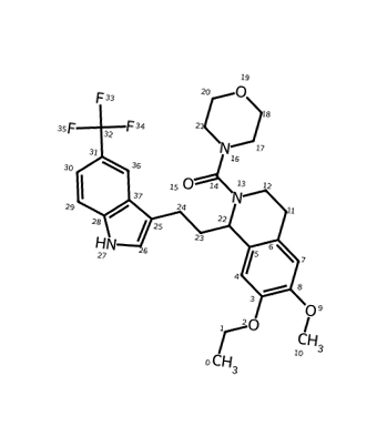 CCOc1cc2c(cc1OC)CCN(C(=O)N1CCOCC1)C2CCc1c[nH]c2ccc(C(F)(F)F)cc12